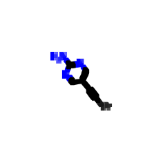 CC(C)C#Cc1cnc(N)nc1